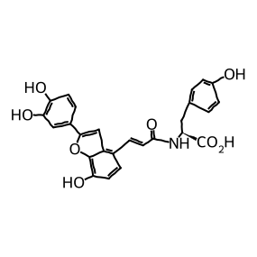 O=C(C=Cc1ccc(O)c2oc(-c3ccc(O)c(O)c3)cc12)N[C@@H](Cc1ccc(O)cc1)C(=O)O